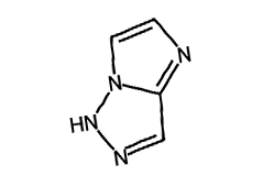 c1cn2[nH]ncc2n1